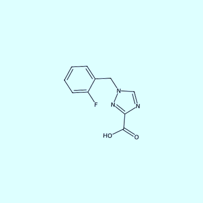 O=C(O)c1ncn(Cc2ccccc2F)n1